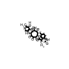 COc1c(N[C@H]2CC(=O)C(=O)[C@H](Cc3ccc(NC=O)cc3)[C@H](OC(=O)C(C)C)[C@H](C)C(=O)C2=O)cnc(C)c1O